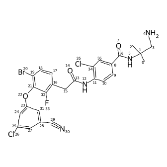 CC(C)(CN)NC(=O)c1ccc(NC(=O)Cc2ccc(Br)c(Oc3cc(Cl)cc(C#N)c3)c2F)c(Cl)c1